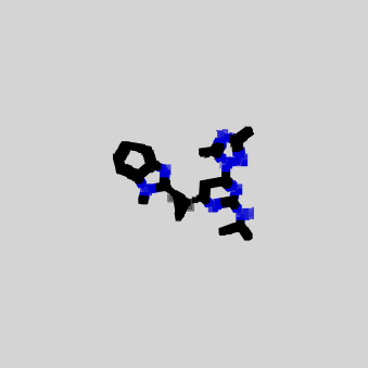 Cc1nc(C)n(-c2cc([C@@H]3C[C@H]3c3nc4ccccc4n3C)nc(NC(C)C)n2)n1